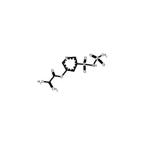 C=C(C)C(=O)Oc1cncc(S(=O)(=O)NS(C)(=O)=O)c1